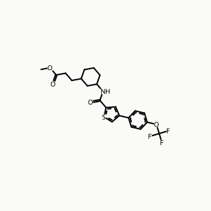 COC(=O)CCC1CCCC(NC(=O)c2cc(-c3ccc(OC(F)(F)F)cc3)cs2)C1